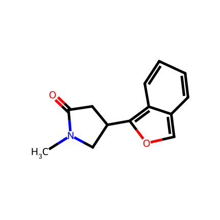 CN1CC(c2occ3ccccc23)CC1=O